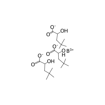 CC(C)(C)CC(O)C(=O)[O-].CC(C)(C)CC(O)C(=O)[O-].CC(C)(C)CC(O)C(=O)[O-].[B+3]